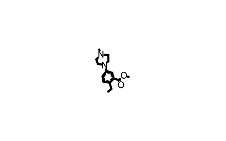 CCc1ccc(N2CCN(C)CC2)cc1C(=O)OC